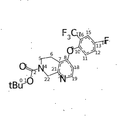 CC(C)(C)OC(=O)N1CCc2c(Oc3ccc(F)cc3C(F)(F)F)ccnc2C1